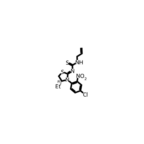 C=CCNC(=S)N=C1SC[C@@H](CC)N1c1ccc(Cl)cc1[N+](=O)[O-]